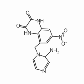 NC1C=NC=CN1Cc1cc([N+](=O)[O-])cc2[nH]c(=O)c(=O)[nH]c12